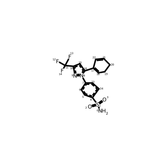 NS(=O)(=O)c1ccc(-n2nc(C(F)(F)F)cc2C2=CCCC=C2)cc1